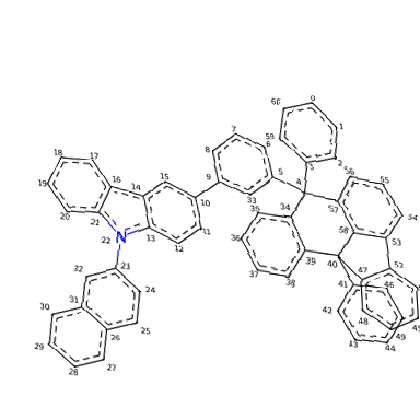 c1ccc(C2(c3cccc(-c4ccc5c(c4)c4ccccc4n5-c4ccc5ccccc5c4)c3)c3ccccc3C3(c4ccccc4)c4ccccc4-c4cccc2c43)cc1